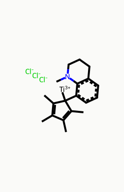 CC1=C(C)[C]([Ti+3])(c2cccc3c2N(C)CCC3)C(C)=C1C.[Cl-].[Cl-].[Cl-]